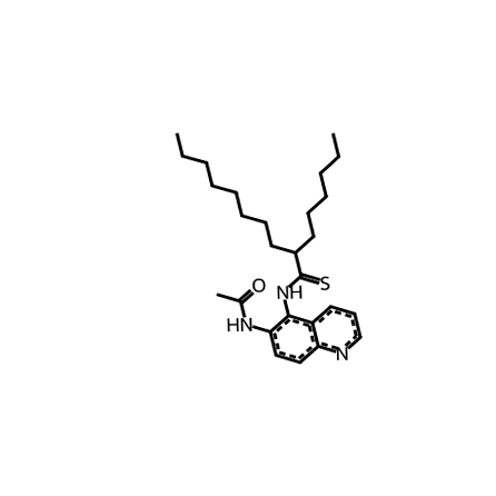 CCCCCCCCC(CCCCCC)C(=S)Nc1c(NC(C)=O)ccc2ncccc12